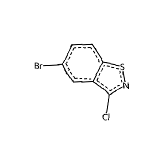 Clc1nsc2ccc(Br)cc12